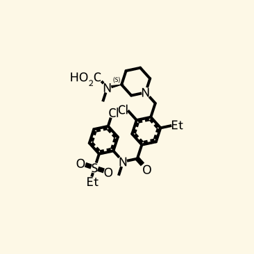 CCc1cc(C(=O)N(C)c2cc(Cl)ccc2S(=O)(=O)CC)cc(Cl)c1CN1CCC[C@H](N(C)C(=O)O)C1